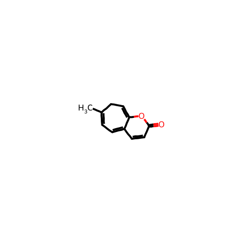 CC1=CC=c2ccc(=O)oc2=CC1